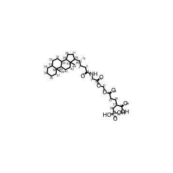 C[C@H](CCC(=O)NCC(=O)OCOC(=O)CCC(CP(=O)(O)O)C(=O)O)C1CCC2C3CCC4CCCCC4(C)C3CCC21C